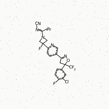 CC(C)/C(=N\C#N)N1CC(F)(c2ccc(C3=NOC(c4ccc(F)c(Cl)c4)(C(F)(F)F)C3)cn2)C1